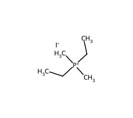 CC[P+](C)(C)CC.[I-]